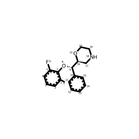 Cc1cccc(F)c1O[C@@H](c1ccccc1)[C@@H]1CNCCO1